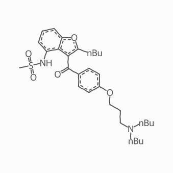 CCCCc1oc2cccc(NS(C)(=O)=O)c2c1C(=O)c1ccc(OCCCN(CCCC)CCCC)cc1